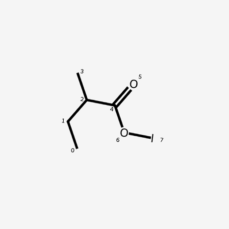 CCC(C)C(=O)OI